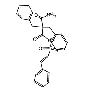 NC(=O)C(Cc1ccccc1)(Cc1ccccc1)C(=O)NS(=O)(=O)C=Cc1ccccc1